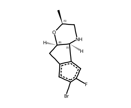 C[C@H]1CN[C@H]2c3cc(F)c(Br)cc3C[C@H]2O1